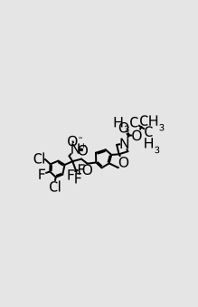 CC(C)(C)OC(=O)N1CC2(C1)OCc1cc(C(=O)CC(C[N+](=O)[O-])(c3cc(Cl)c(F)c(Cl)c3)C(F)(F)F)ccc12